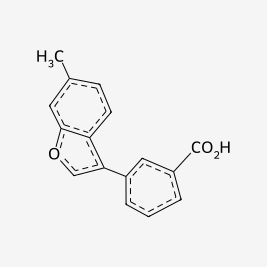 Cc1ccc2c(-c3cccc(C(=O)O)c3)coc2c1